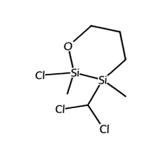 C[Si]1(Cl)OCCC[Si]1(C)C(Cl)Cl